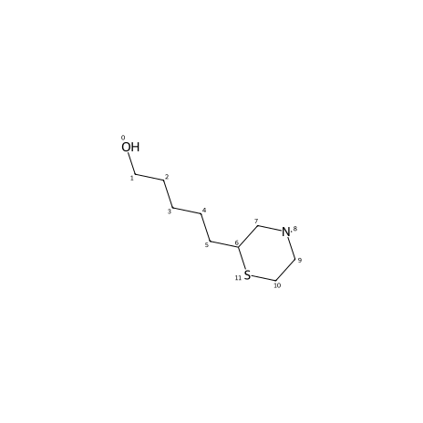 OCCCCCC1C[N]CCS1